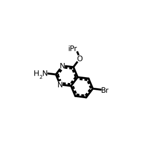 CC(C)Oc1nc(N)nc2ccc(Br)cc12